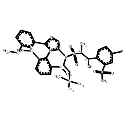 COc1cccc(-c2nnc(N(CC[Si](C)(C)C)S(=O)(=O)[C@@H](C)[C@H](O)c3ccc(F)cc3S(C)(=O)=O)n2-c2c(OC)cccc2OC)n1